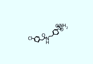 NS(=O)(=O)c1ccc(CCNC(=O)Cc2ccc(Cl)cc2)cc1